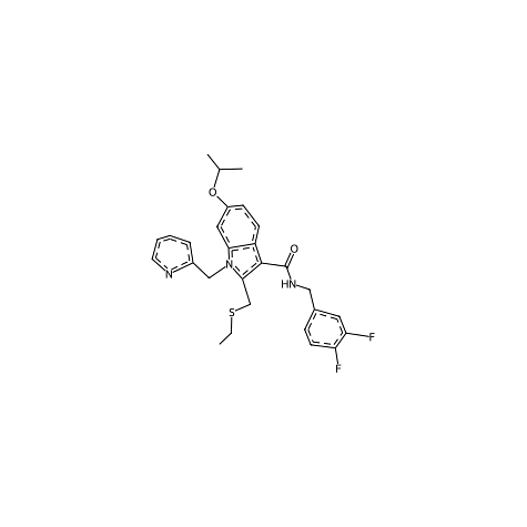 CCSCc1c(C(=O)NCc2ccc(F)c(F)c2)c2ccc(OC(C)C)cc2n1Cc1ccccn1